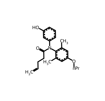 C=CCCC(=O)N(c1cccc(O)c1)c1c(C)cc(OCCC)cc1C